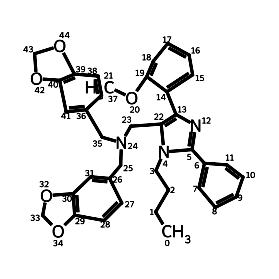 CCCCn1c(-c2ccccc2)nc(-c2ccccc2OC)c1CN(Cc1ccc2c(c1)OCO2)Cc1ccc2c(c1)OCO2